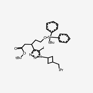 CC(C)CC1CC(n2nnc(C(CCO[Si](c3ccccc3)(c3ccccc3)C(C)(C)C)CC(=O)OC(C)(C)C)c2I)C1